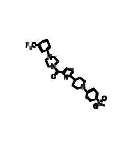 CS(=O)(=O)c1ccc(N2CCC(c3nc(C(=O)N4CCN(c5cccc(C(F)(F)F)c5)CC4)cs3)CC2)cc1